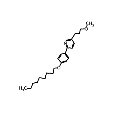 CCCCCCCCCOc1ccc(-c2ccc(CCCOC)cn2)cc1